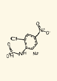 O=[N+]([O-])c1ccc(N[SH](=O)=O)c(Cl)c1.[Na]